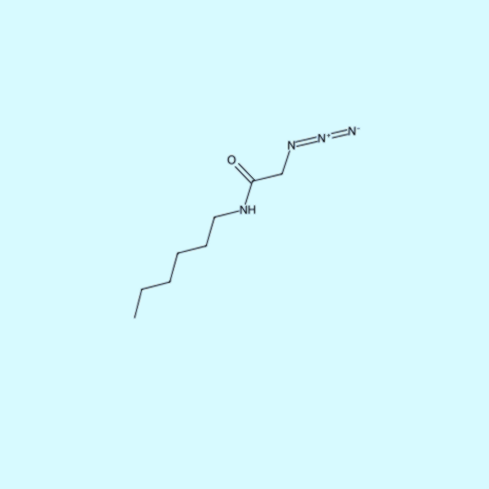 CCCCCCNC(=O)CN=[N+]=[N-]